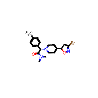 CN(C)C(=O)[C@H](c1ccc(C(F)(F)F)cc1)N1CCC([C@H]2CC(Br)=NO2)CC1